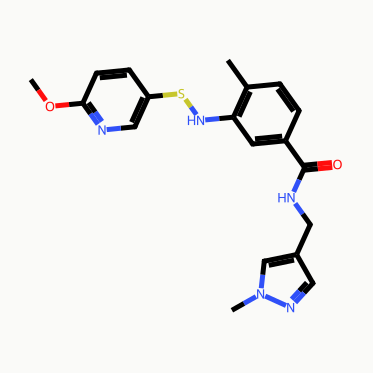 COc1ccc(SNc2cc(C(=O)NCc3cnn(C)c3)ccc2C)cn1